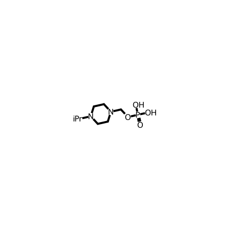 CC(C)N1CCN(COP(=O)(O)O)CC1